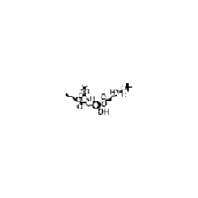 CCCCOC(=O)[C@H](Cc1ccc(OC(=O)CCCNC(=O)OC(C)(C)C)c(O)c1)NC(=O)OC(C)(C)C